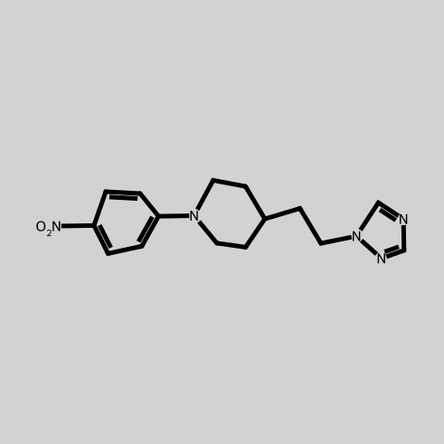 O=[N+]([O-])c1ccc(N2CCC(CCn3cncn3)CC2)cc1